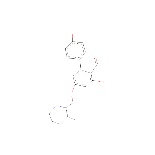 CC1CCCNC1COc1cc(O)c(C=O)c(-c2ccc(O)cc2)c1